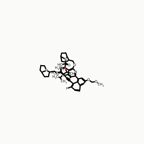 COCOc1cc(-c2nc3c4c(nc(OCC5CCC6CCCN65)nc4c2F)N2CC4CCC(C2CO3)N4C(=O)O)c2c(C#C[Si](C(C)C)(C(C)C)C(C)C)c(F)ccc2c1